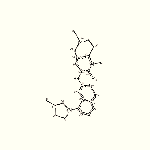 CC1CCN(c2nccc3cnc(Nc4cc5c(n(C)c4=O)CCN(C)C5)nc23)C1